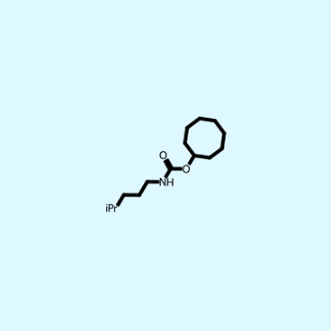 CC(C)CCCNC(=O)OC1CCCCCCC1